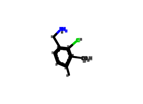 Cc1ccc(CN)c(Cl)c1C(=O)O